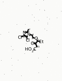 CCC(OCCn1c(C)nc(Cl)c1Cl)C(=O)CC(=O)O